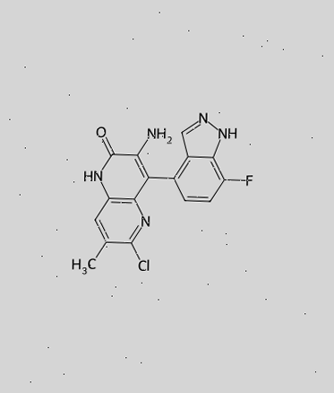 Cc1cc2[nH]c(=O)c(N)c(-c3ccc(F)c4[nH]ncc34)c2nc1Cl